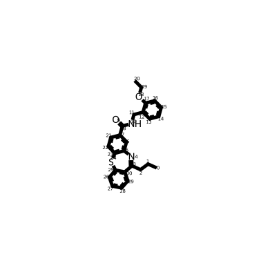 CCCC1=Nc2cc(C(=O)NCc3ccccc3OCC)ccc2Sc2ccccc21